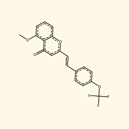 COc1cccc2oc(/C=C/c3ccc(OC(F)(F)F)cc3)cc(=O)c12